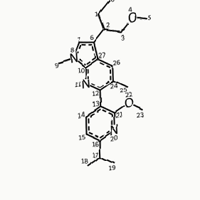 CCC(COC)c1cn(C)c2nc(-c3ccc(C(C)C)nc3OC)c(C)cc12